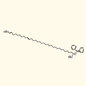 CCCCC=CCCCCCCCC=CCCCCCCCCCCCCCCCCCCCCCC(O[SiH](c1ccccc1)c1ccccc1)C(C)(C)C